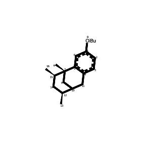 CC(C)COc1ccc2c(c1)[C@]1(C)CC(C2)[C@@H](C)C[C@H]1C